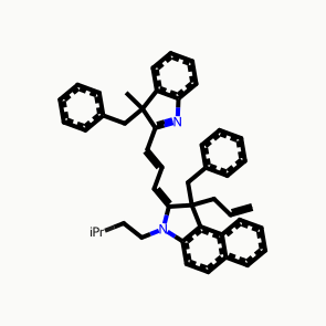 C=CCC1(Cc2ccccc2)/C(=C\C=C\C2=Nc3ccccc3C2(C)Cc2ccccc2)N(CCC(C)C)c2ccc3ccccc3c21